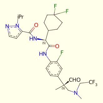 CC(C)n1nccc1C(=O)N[C@H](C(=O)Nc1ccc([C@](C)(C=O)CN(C)CC(F)(F)F)cc1F)C1CCC(F)(F)CC1